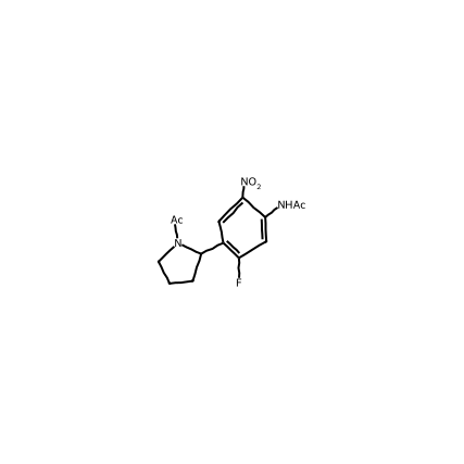 CC(=O)Nc1cc(F)c(C2CCCN2C(C)=O)cc1[N+](=O)[O-]